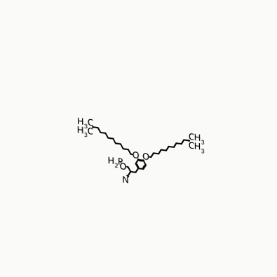 CC(C)CCCCCCCCCCOc1ccc(CC(C#N)COP)cc1OCCCCCCCCCCC(C)C